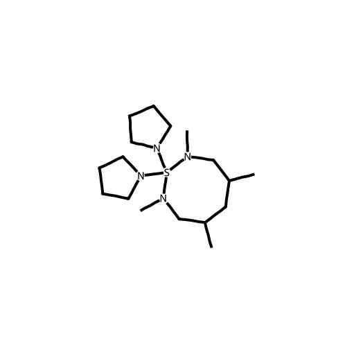 CC1CC(C)CN(C)S(N2CCCC2)(N2CCCC2)N(C)C1